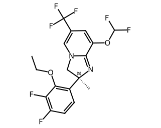 CCOc1c([C@@]2(C)CN3C=C(C(F)(F)F)C=C(OC(F)F)C3=N2)ccc(F)c1F